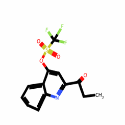 CCC(=O)c1cc(OS(=O)(=O)C(F)(F)F)c2ccccc2n1